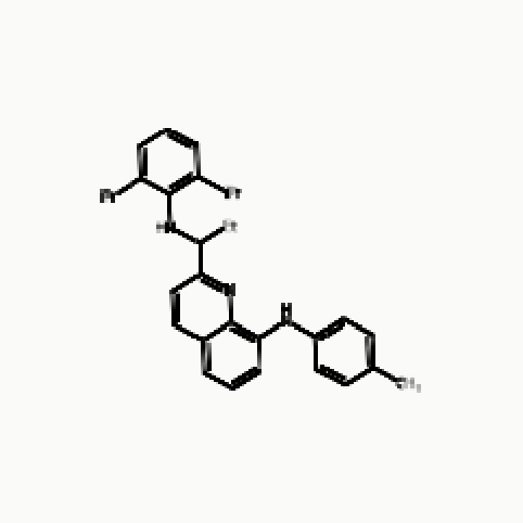 CCC(Nc1c(C(C)C)cccc1C(C)C)c1ccc2cccc(Nc3ccc(C)cc3)c2n1